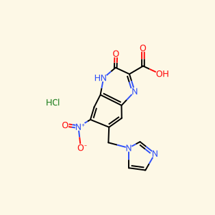 Cl.O=C(O)c1nc2cc(Cn3ccnc3)c([N+](=O)[O-])cc2[nH]c1=O